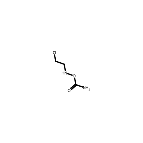 NC(=O)ONCCCl